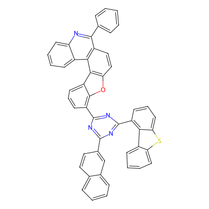 c1ccc(-c2nc3ccccc3c3c2ccc2oc4c(-c5nc(-c6ccc7ccccc7c6)nc(-c6cccc7sc8ccccc8c67)n5)cccc4c23)cc1